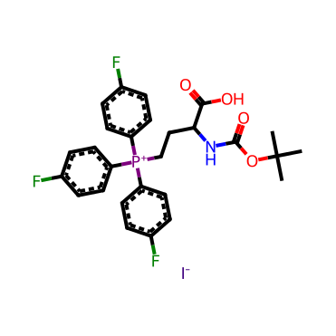 CC(C)(C)OC(=O)NC(CC[P+](c1ccc(F)cc1)(c1ccc(F)cc1)c1ccc(F)cc1)C(=O)O.[I-]